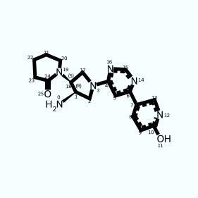 N[C@@H]1CN(c2cc(-c3ccc(O)nc3)ncn2)C[C@@H]1N1CCCCC1=O